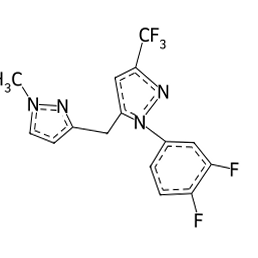 Cn1ccc(Cc2cc(C(F)(F)F)nn2-c2ccc(F)c(F)c2)n1